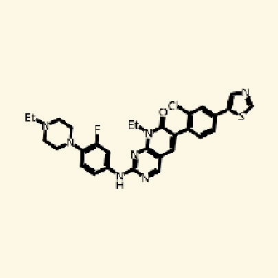 CCN1CCN(c2ccc(Nc3ncc4cc(-c5ccc(-c6cncs6)cc5Cl)c(=O)n(CC)c4n3)cc2F)CC1